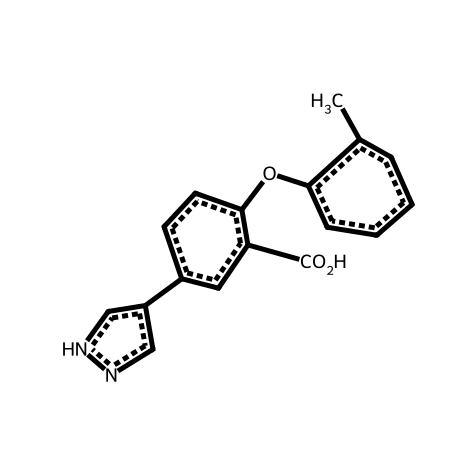 Cc1ccccc1Oc1ccc(-c2cn[nH]c2)cc1C(=O)O